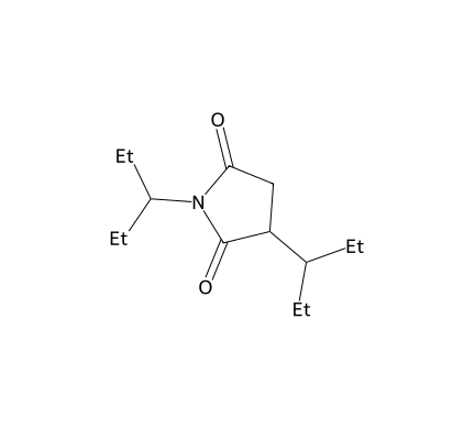 CCC(CC)C1CC(=O)N(C(CC)CC)C1=O